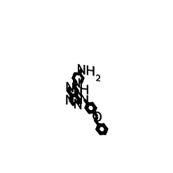 NC1CCN(c2ncc3ncnc(Nc4ccc(OCc5ccccc5)cc4)c3n2)CC1